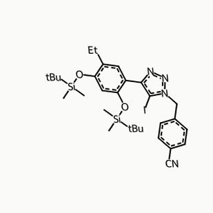 CCc1cc(-c2nnn(Cc3ccc(C#N)cc3)c2I)c(O[Si](C)(C)C(C)(C)C)cc1O[Si](C)(C)C(C)(C)C